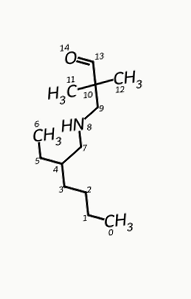 CCCCC(CC)CNCC(C)(C)C=O